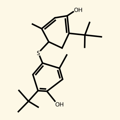 CC1=CC(O)=C(C(C)(C)C)CC1Sc1cc(C(C)(C)C)c(O)cc1C